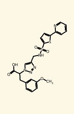 COc1cccc(CC(C(=O)O)n2cc(CNS(=O)(=O)c3ccc(-c4ccccn4)s3)nn2)c1